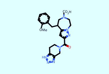 COc1ccccc1CC1CN(C(=O)O)CCn2nc(C(=O)N3CCc4[nH]nnc4C3)cc21